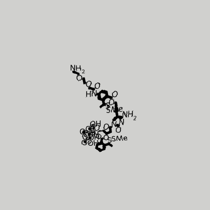 CSSC(C)c1cc(NC(=O)COCCOCCN)ccc1C(=O)OCC#Cc1cn([C@H]2CC(OC(=O)c3ccccc3C(C)SSC)[C@@H](COP(=O)(O)OP(=O)(O)OP(=O)(O)O)O2)c(=O)nc1N